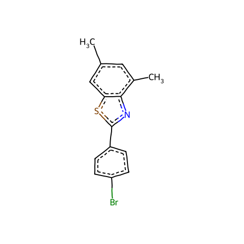 Cc1cc(C)c2nc(-c3ccc(Br)cc3)sc2c1